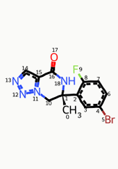 C[C@@]1(c2cc(Br)ccc2F)Cn2nncc2C(=O)N1